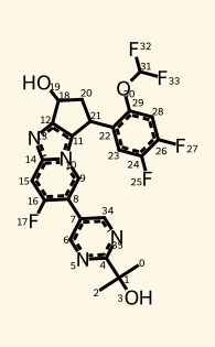 CC(C)(O)c1ncc(-c2cn3c4c(nc3cc2F)C(O)CC4c2cc(F)c(F)cc2OC(F)F)cn1